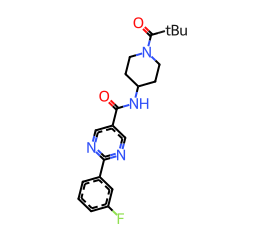 CC(C)(C)C(=O)N1CCC(NC(=O)c2cnc(-c3cccc(F)c3)nc2)CC1